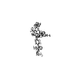 CC(=O)Nc1cc(S(=O)(=O)O)cc2cc(S(=O)(=O)O)c(N=Nc3ccc(C(=O)NCCN)cc3)c(O)c12